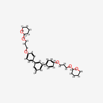 Cc1cc(-c2ccc(OCCCOC3CCCCO3)cc2)cc(-c2ccc(OCCCOC3CCCCO3)cc2)c1